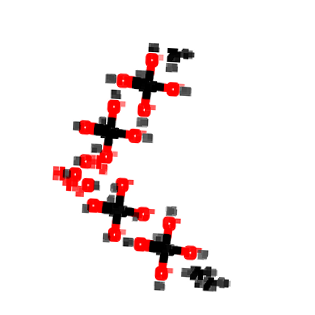 O.O.O.O=[As]([O-])([O-])[O-].O=[As]([O-])([O-])[O-].O=[As]([O-])([O-])[O-].O=[As]([O-])([O-])[O-].[Zr+4].[Zr+4].[Zr+4]